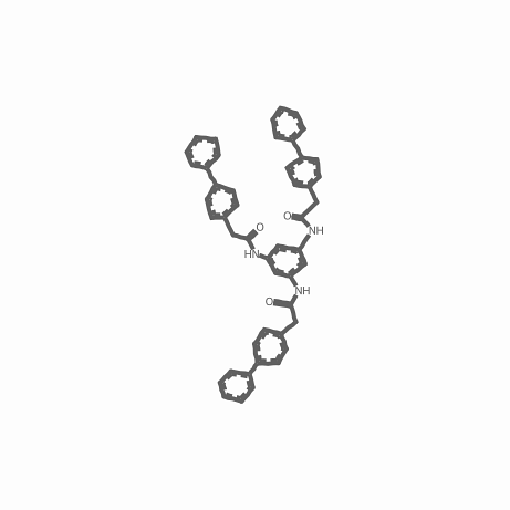 O=C(Cc1ccc(-c2ccccc2)cc1)Nc1cc(NC(=O)Cc2ccc(-c3ccccc3)cc2)cc(NC(=O)Cc2ccc(-c3ccccc3)cc2)c1